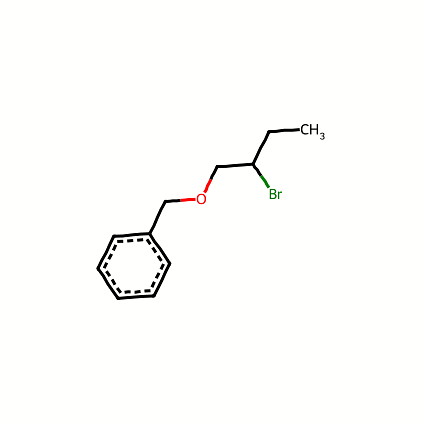 CCC(Br)COCc1ccccc1